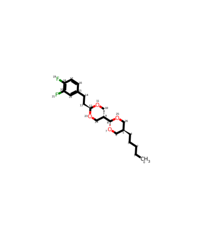 CCCCC[C@H]1CO[C@H]([C@H]2CO[C@H](CCc3ccc(F)c(F)c3)OC2)OC1